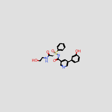 O=C(C[S@@](=O)(=NC(=O)c1cncc(-c2cccc(O)c2)c1)c1ccccc1)NCCO